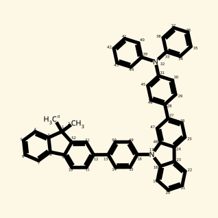 CC1(C)c2ccccc2-c2ccc(-c3ccc(-n4c5ccccc5c5ccc(-c6ccc(N(c7ccccc7)c7ccccc7)cc6)cc54)cc3)cc21